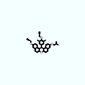 C#CCOc1ccc2c3c(ccc2c1)Oc1ccc2cc(OCC(=C)C)ccc2c1C3c1cc(I)c(OCC#C)c(I)c1